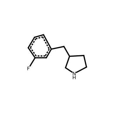 Fc1cccc(CC2CCNC2)c1